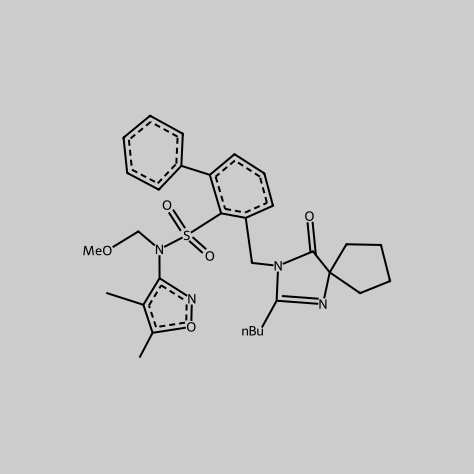 CCCCC1=NC2(CCCC2)C(=O)N1Cc1cccc(-c2ccccc2)c1S(=O)(=O)N(COC)c1noc(C)c1C